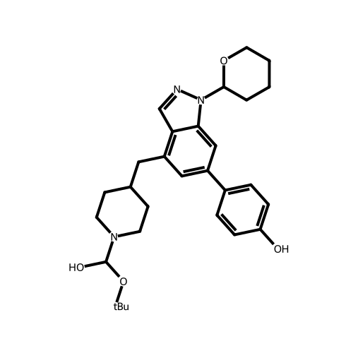 CC(C)(C)OC(O)N1CCC(Cc2cc(-c3ccc(O)cc3)cc3c2cnn3C2CCCCO2)CC1